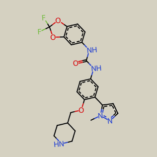 Cn1nccc1-c1cc(NC(=O)Nc2ccc3c(c2)OC(F)(F)O3)ccc1OCC1CCNCC1